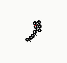 c1ccc(N(c2cccc(C3(c4ccccc4)c4ccccc4-c4ccccc43)c2)c2ccc3c(c2)sc2cc4cc5sc6ccccc6c5cc4cc23)cc1